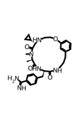 C[C@@H]1C(=O)N[C@H](Cc2ccc(C(=N)N)cc2)C(=O)NCCCc2cccc(c2)OCCN[C@@H](C2CC2)C(=O)N1C